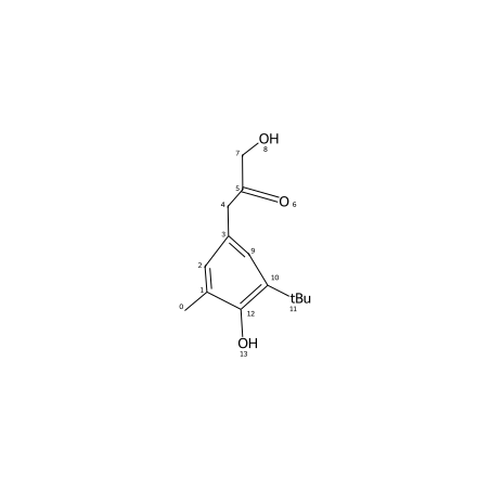 Cc1cc(CC(=O)CO)cc(C(C)(C)C)c1O